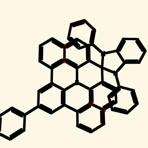 c1ccc(-c2cc(-c3ccccc3)c(B3c4ccccc4C4(c5ccccc53)N(c3ccccc3)c3ccccc3N4c3ccccc3)c(-c3ccccc3)c2)cc1